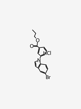 CCCOC(=O)c1cccc(-n2ccc3cc(Br)ccc32)c1.Cl